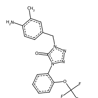 Cc1cc(Cn2nnn(-c3ccccc3OC(F)(F)F)c2=O)ccc1N